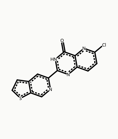 O=c1[nH]c(-c2cc3ccsc3cn2)nc2ccc(Cl)nc12